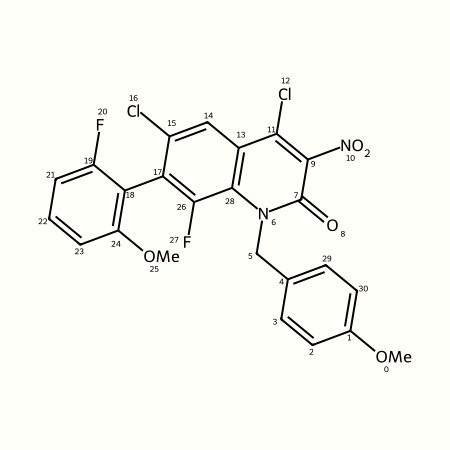 COc1ccc(Cn2c(=O)c([N+](=O)[O-])c(Cl)c3cc(Cl)c(-c4c(F)cccc4OC)c(F)c32)cc1